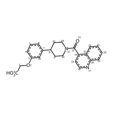 O=C(O)COc1cccc(C2CCN(C(=O)c3ccnc4ccccc34)CC2)c1